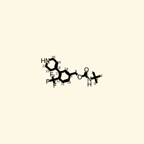 CC(C)(C)NC(=O)OCc1ccc(C(F)(F)F)c(C2=CCNCC2)c1